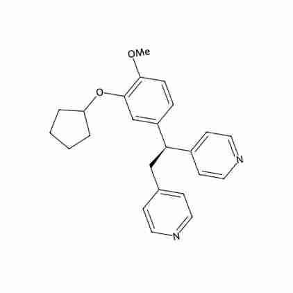 COc1ccc([C@H](Cc2ccncc2)c2ccncc2)cc1OC1CCCC1